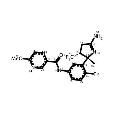 COc1cnc(C(=O)Nc2ccc(F)c([C@@]3(C)N=C(N)C[C@H]3C(F)(F)F)c2)cn1